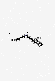 CCCCCCCC/C=C\CCCCCCCC(CC(=O)O)O[C@H]1CCCCO1